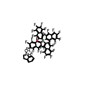 C[NH+]1CCc2ccccc21.Fc1c(F)c(F)c2c(F)c([B-](c3c(F)c(F)c4c(F)c(F)c(F)c(F)c4c3F)(c3c(F)c(F)c4c(F)c(F)c(F)c(F)c4c3F)c3c(F)c(F)c4c(F)c(F)c(F)c(F)c4c3F)c(F)c(F)c2c1F